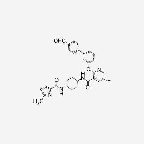 Cc1nc(C(=O)N[C@H]2CC[C@H](NC(=O)c3cc(F)cnc3Oc3cccc(-c4ccc(C=O)cc4)c3)CC2)cs1